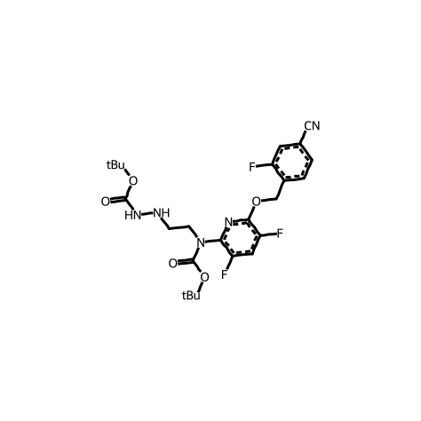 CC(C)(C)OC(=O)NNCCN(C(=O)OC(C)(C)C)c1nc(OCc2ccc(C#N)cc2F)c(F)cc1F